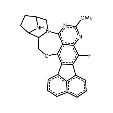 COc1nc2c3c(c4c(c(F)c3n1)-c1cccc3cccc-4c13)OCC1C3CCC(CN21)N3